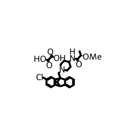 CO[C@@H](C)C(=O)NC1CCN(CC23CC(c4ccccc42)c2ccc(Cl)cc23)CC1.O=C(O)C(=O)O